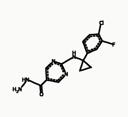 NNC(=O)c1cnc(NC2(c3ccc(Cl)c(F)c3)CC2)nc1